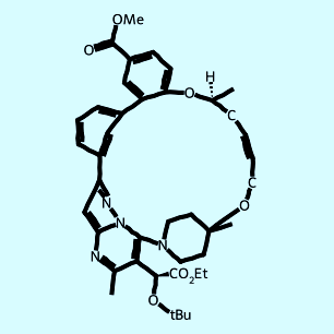 CCOC(=O)[C@@H](OC(C)(C)C)c1c(C)nc2cc3nn2c1N1CCC(C)(CC1)OCC=CC[C@H](C)Oc1ccc(C(=O)OC)cc1-c1cccc-3c1